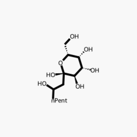 CCCCCC(O)C[C@]1(O)O[C@H](CO)[C@H](O)[C@H](O)[C@H]1O